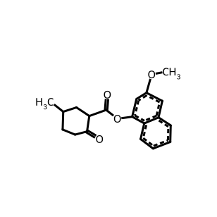 COc1cc(OC(=O)C2CC(C)CCC2=O)c2ccccc2c1